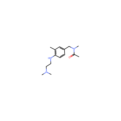 CC(=O)N(C)Cc1ccc(NCCN(C)C)c(C)c1